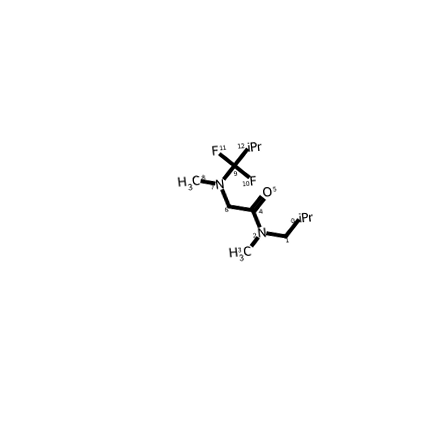 CC(C)CN(C)C(=O)CN(C)C(F)(F)C(C)C